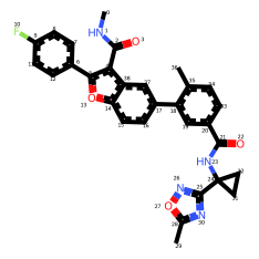 CNC(=O)c1c(-c2ccc(F)cc2)oc2ccc(-c3cc(C(=O)NC4(c5noc(C)n5)CC4)ccc3C)cc12